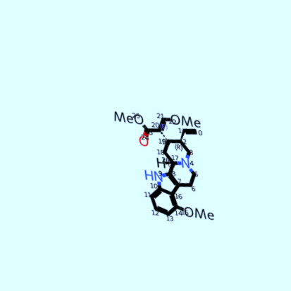 C=C[C@H]1CN2CCc3c([nH]c4cccc(OC)c34)[C@@H]2C[C@@H]1/C(=C\OC)C(=O)OC